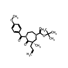 C=CC[C@]1(C)CN(C(=O)OC(C)(C)C)CCN(C(=O)c2ccc(OC)cc2)C1=O